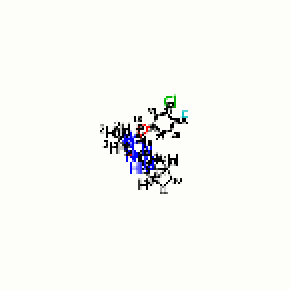 [2H]C([2H])([2H])n1nc(N[C@@H]2[C@@H]3CC[C@H]2CN(c2cc(C)ncn2)C3)nc1Oc1ccc(F)c(Cl)c1